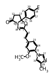 COc1cc(/C=C/C2=NN3C(=O)CCC3(c3ccc(F)cc3)O2)ccc1-n1cnc(C)c1